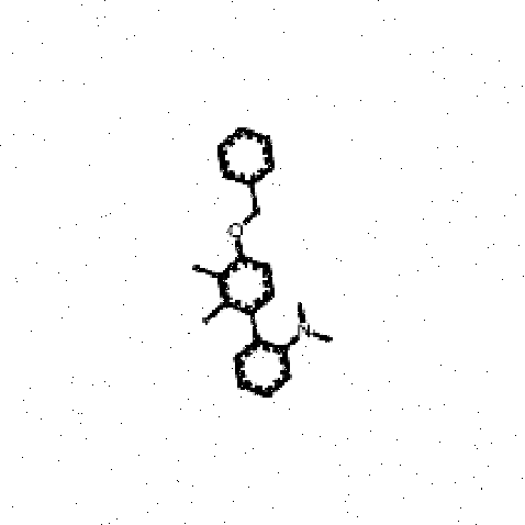 Cc1c(OCc2ccccc2)ccc(-c2ccccc2N(C)C)c1C